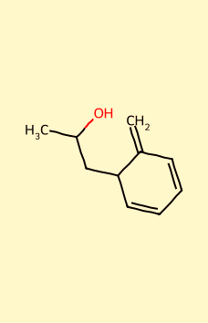 C=C1C=CC=CC1CC(C)O